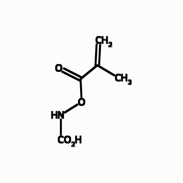 C=C(C)C(=O)ONC(=O)O